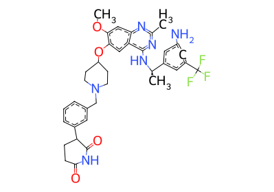 COc1cc2nc(C)nc(N[C@H](C)c3cc(N)cc(C(F)(F)F)c3)c2cc1OC1CCN(Cc2cccc(C3CCC(=O)NC3=O)c2)CC1